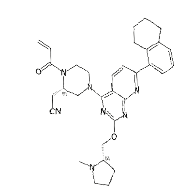 C=CC(=O)N1CCN(c2nc(OC[C@@H]3CCCN3C)nc3nc(-c4cccc5c4CCCC5)ccc23)C[C@@H]1CC#N